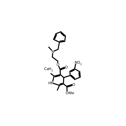 COC(=O)C1=C(C)NC(C)=C(C(=O)OCCN(C)Cc2ccccc2)C1c1cccc([N+](=O)[O-])c1.[CaH2]